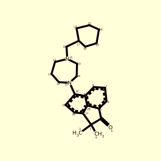 CC1(C)C(=O)c2cccc3c(N4CCCN(CC5CCCCC5)CC4)ccc1c23